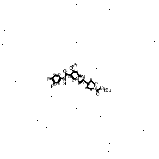 CC(C)Oc1cc2nc(C3CCN(C(=O)OC(C)(C)C)CC3)cn2cc1C(=O)Nc1ccc(F)c(F)c1